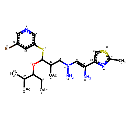 CC(=O)OCC(OC(Sc1cncc(Br)c1)C(CN(N)/C=C(\N)c1csc(C)n1)OC(C)=O)C(C)OC(C)=O